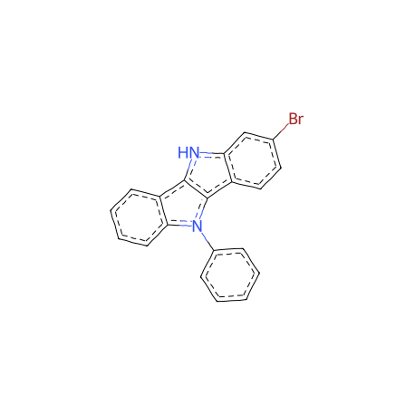 Brc1ccc2c(c1)[nH]c1c3ccccc3n(-c3ccccc3)c21